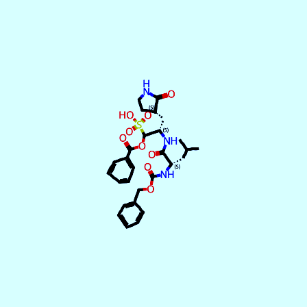 CC(C)C[C@H](NC(=O)OCc1ccccc1)C(=O)N[C@@H](C[C@@H]1CCNC1=O)C(OC(=O)c1ccccc1)S(=O)(=O)O